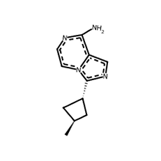 C[C@H]1C[C@H](c2ncc3c(N)nccn32)C1